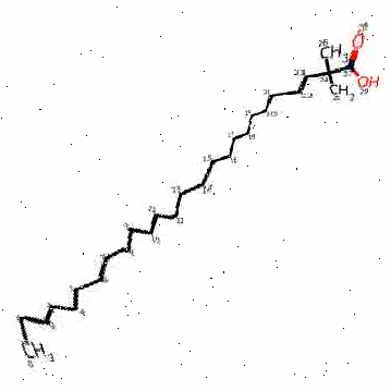 CCCCCCCCCCCCCCCCCCCCCCCCC(C)(C)C(=O)O